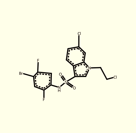 O=S(=O)(Nc1cc(F)c(Br)cc1F)c1cn(CCCl)c2cc(Cl)ccc12